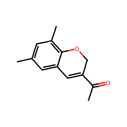 CC(=O)C1=Cc2cc(C)cc(C)c2OC1